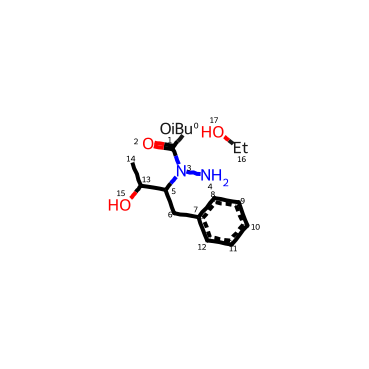 CC(C)COC(=O)N(N)C(Cc1ccccc1)C(C)O.CCO